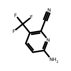 N#Cc1nc(N)ccc1C(F)(F)F